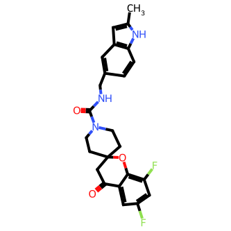 Cc1cc2cc(CNC(=O)N3CCC4(CC3)CC(=O)c3cc(F)cc(F)c3O4)ccc2[nH]1